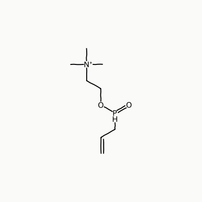 C=CC[PH](=O)OCC[N+](C)(C)C